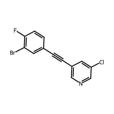 Fc1ccc(C#Cc2cncc(Cl)c2)cc1Br